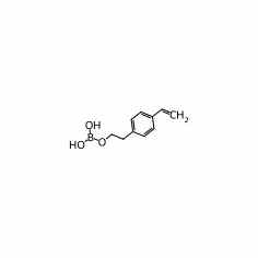 C=Cc1ccc(CCOB(O)O)cc1